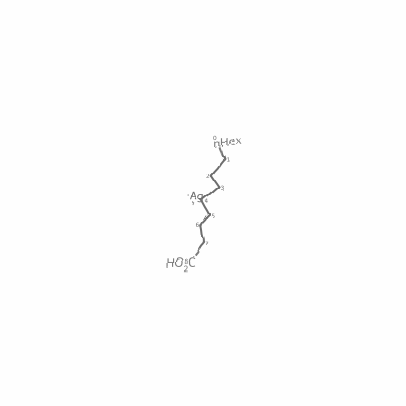 CCCCCCCCCCCCCC(=O)O.[Ag]